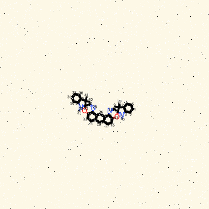 CN1c2ccccc2C(C)(C)C12C=Nc1c(ccc3cc4ccc5c(c4cc13)N=CC1(O5)N(C)c3ccccc3C1(C)C)O2